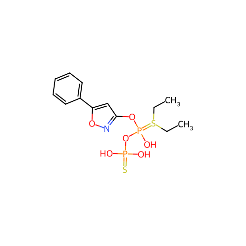 CCS(CC)=P(O)(Oc1cc(-c2ccccc2)on1)OP(O)(O)=S